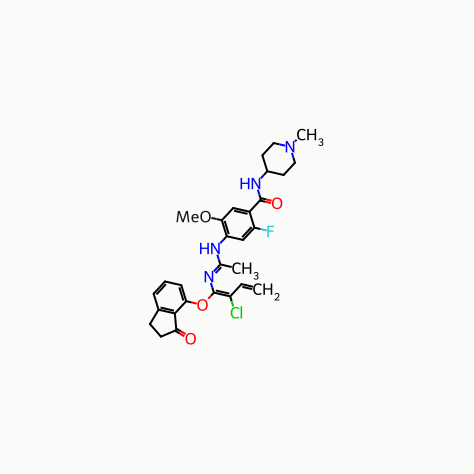 C=C/C(Cl)=C(\N=C(/C)Nc1cc(F)c(C(=O)NC2CCN(C)CC2)cc1OC)Oc1cccc2c1C(=O)CC2